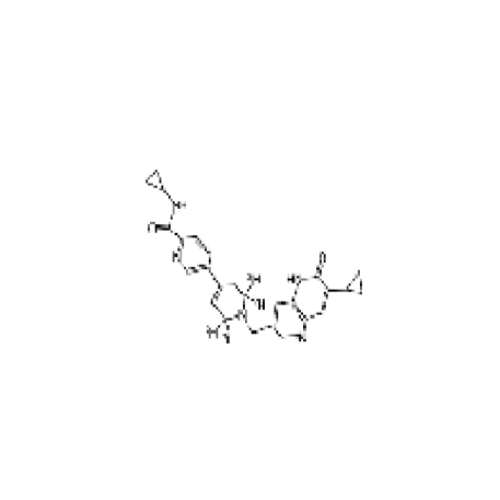 [2H]C1([2H])C=C(c2ccc(C(=O)NC3CC3)nc2)CC([2H])([2H])N1Cc1cnc2cc(C3CC3)c(=O)[nH]c2c1